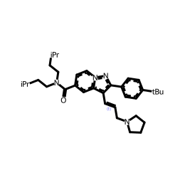 CC(C)CCN(CCC(C)C)C(=O)c1ccn2nc(-c3ccc(C(C)(C)C)cc3)c(/C=C/CN3CCCC3)c2c1